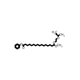 CCC(C)OCCOC(CCCCCCCCCCCCCCC(=O)Oc1ccccc1)OC